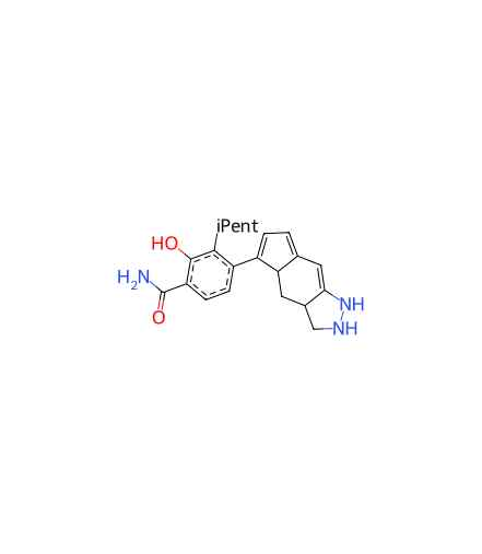 CCCC(C)c1c(C2=CC=C3C=C4NNCC4CC32)ccc(C(N)=O)c1O